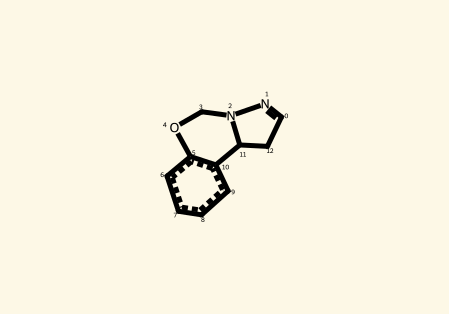 C1=NN2COc3ccccc3C2C1